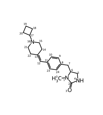 CN1C(=O)NCC1Cc1ccc(C=C2CCN(C3CCC3)CC2)cc1